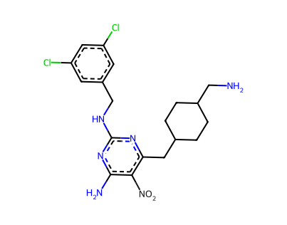 NCC1CCC(Cc2nc(NCc3cc(Cl)cc(Cl)c3)nc(N)c2[N+](=O)[O-])CC1